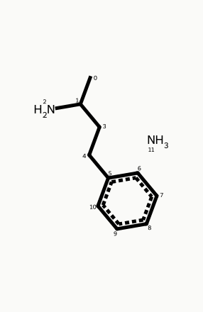 CC(N)CCc1ccccc1.N